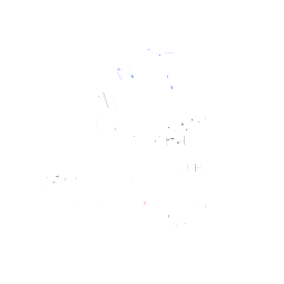 [2H]c1nc(N)nc(NC)c1C(C)(C)c1cc(OC)c(OCC)c2c1C(C)=C(C)C(C)(C1CC1(C)C)O2